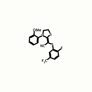 COc1ccccc1N1CCS/C1=C(/C#N)Sc1cc(C(F)(F)F)ccc1F